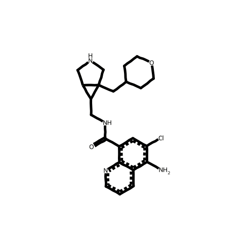 Nc1c(Cl)cc(C(=O)NCC2C3CNCC32CC2CCOCC2)c2ncccc12